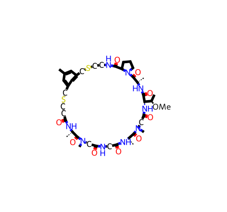 CO[C@H](C)[C@@H]1NC(=O)CN(C)C(=O)[C@H](C)NC(=O)CNC(=O)CN(C)C(=O)[C@H](C)NC(=O)CCSCc2cc(C)cc(c2)CSCCNC(=O)C2CCCN2C(=O)[C@H](C)NC1=O